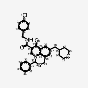 O=C(NCc1ccc(Cl)cc1)c1cn2c3c(cc(CC4CCOCC4)cc3c1=O)CSC2c1ccccc1